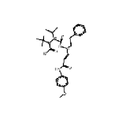 COc1ccc(NC(=O)C=C[C@H](CCc2ccccc2)NC(=O)[C@H](C(C)C)N(C(=O)O)C(C)(C)C)cc1